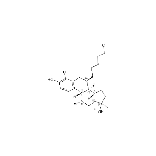 C[C@]12C[C@H](F)[C@@H]3c4ccc(O)c(Cl)c4C[C@@H](CCCCCCl)[C@H]3[C@@H]1CC[C@@]2(C)O